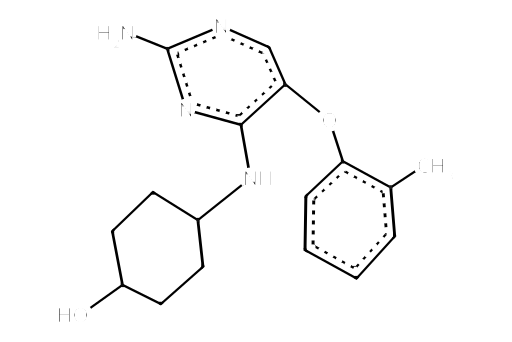 Cc1ccccc1Oc1cnc(N)nc1NC1CCC(O)CC1